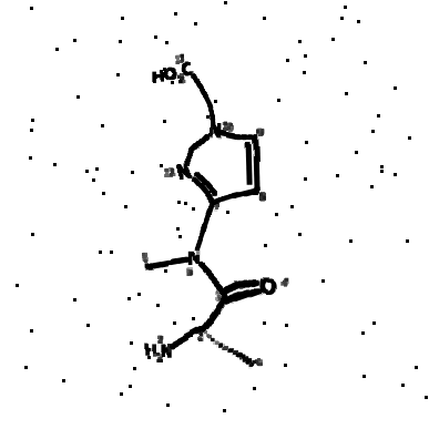 C[C@H](N)C(=O)N(C)c1ccn(C(=O)O)n1